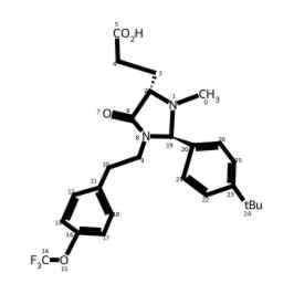 CN1[C@@H](CCC(=O)O)C(=O)N(CCc2ccc(OC(F)(F)F)cc2)[C@@H]1c1ccc(C(C)(C)C)cc1